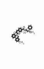 Cc1cccc(CN2C(=O)C(=Cc3ccc(C(=O)NCCN(C)C4CCCCC4)cc3)Oc3ccccc32)c1